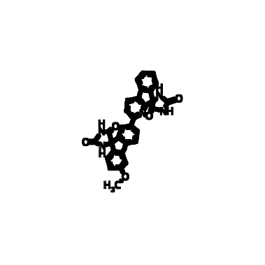 COc1ccc2c(c1)-c1ccc(-c3ccc4c(n3)C3(NC(=O)NC3=O)c3ccccc3-4)cc1C21NC(=O)NC1=O